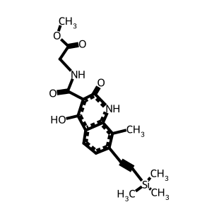 COC(=O)CNC(=O)c1c(O)c2ccc(C#C[Si](C)(C)C)c(C)c2[nH]c1=O